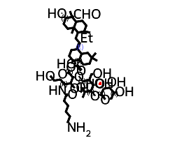 CCC1(C)CCC2C(C)(CC[C@H](O)C2(C)C=O)C1C/C=C1\CCC(O)[C@@]2(C(=O)O[C@@H]3OC(CO)[C@H](NC(=O)CCCCCN)C(O)C3O[C@@H]3OC(C)[C@H](O[C@@H]4OC[C@@H](O)C(O)C4O)C(O)C3CO)CCC(C)(C)CC12